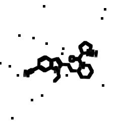 CCn1c(CC[C@@H]2CCCCN2C(=O)[C@H]2CCCN2)cc2ccc(C#N)cc21